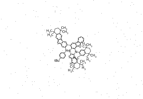 Cc1cc2c(cc1N1c3c(sc4cc5c(cc34)C(C)(C)CCC5(C)C)B3c4c(cc5c(oc6ccccc65)c41)-c1cc4c(cc1N3c1ccc(C(C)(C)C)cc1)sc1cc3c(cc14)C(C)(C)CCC3(C)C)C(C)(C)CCC2(C)C